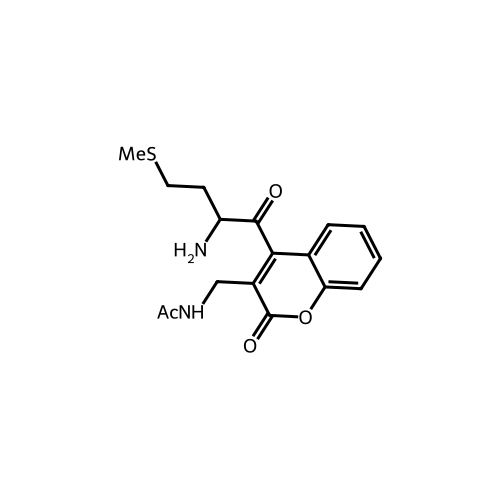 CSCCC(N)C(=O)c1c(CNC(C)=O)c(=O)oc2ccccc12